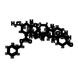 C[C@H]1C[C@H]2O[C@]3(CC[C@H]4[C@@H]5CC[C@@H]6NC(=O)CC[C@]6(C)[C@H]5C[C@@]45C[C@]53C)[C@H](C)[C@@H]2N(C(=O)OCc2ccccc2)C1